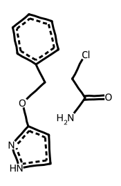 NC(=O)CCl.c1ccc(COc2cc[nH]n2)cc1